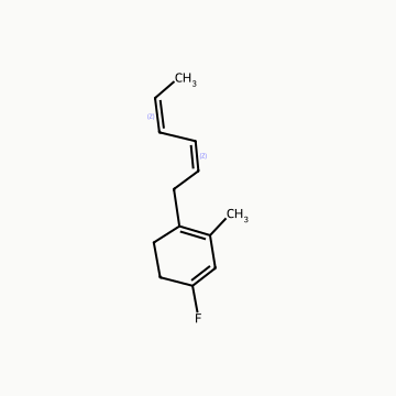 C/C=C\C=C/CC1=C(C)C=C(F)CC1